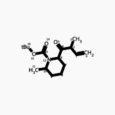 C=CC(C)C(=O)C1CCCC(C)N1C(=O)OC(C)(C)C